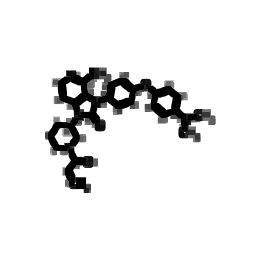 C=CC(=O)N1CCC[C@@H](n2c(=O)n(-c3ccc(Oc4ccc(N(C)C)cc4)cc3)c3c(N)nccc32)C1